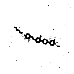 CCCCCCOc1ccc(CCc2ccc(C3CCC(c4ccc(OCC)c(F)c4F)CC3)c(F)c2)c(F)c1F